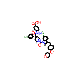 Cc1c(CC2CCC(OC3CCOCC3)CC2)c2ccc(F)cc2n1C(=O)N1CC[C@@](C(=O)N[C@H]2CC[C@H](C(=O)O)C[C@@H]2C)(c2ccc(F)cc2)C[C@@H]1C